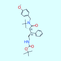 COc1ccc(CN2C(=O)[C@H]([C@H](CCNC(=O)OC(C)(C)C)c3ccccc3)CC2(C)C)cc1